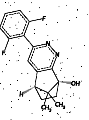 CC1(C)[C@H]2CC[C@]1(O)c1nnc(-c3c(F)cccc3F)cc12